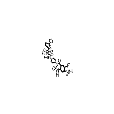 CNc1cc2[nH]c(=O)n(-c3ccc(NC(=O)NS(=O)(=O)C4=CCC(Cl)S4)cc3)c(=O)c2cc1F